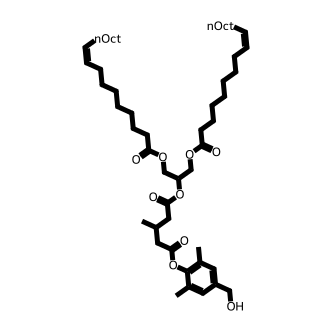 CCCCCCCC/C=C\CCCCCCCC(=O)OCC(COC(=O)CCCCCCC/C=C\CCCCCCCC)OC(=O)CC(C)CC(=O)Oc1c(C)cc(CO)cc1C